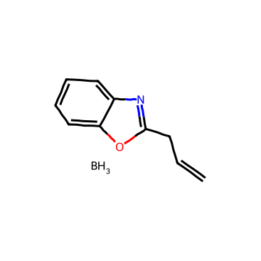 B.C=CCc1nc2ccccc2o1